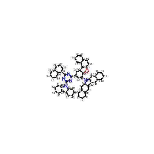 c1ccc2cc3c(cc2c1)c1cc2ccccc2cc1n3-c1cc(-c2nc(-c3cccc4ccccc34)nc(-n3c4ccccc4c4ccccc43)n2)cc2c1oc1ccc3ccccc3c12